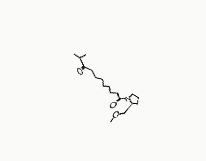 COC[C@@H]1CCCN1C(=O)CCCCCCCC(=O)C(C)C